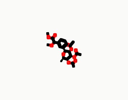 COC(=O)C(OC)c1cccc([C@H]2O[C@@H](C)[C@@H](OC(C)=O)[C@@H](OC(C)=O)[C@@H]2OC(C)=O)c1